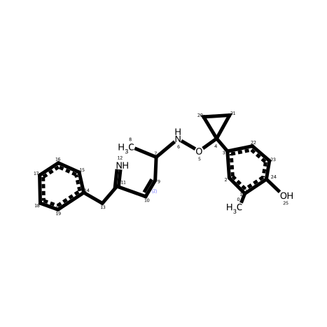 Cc1cc(C2(ONC(C)/C=C\C(=N)Cc3ccccc3)CC2)ccc1O